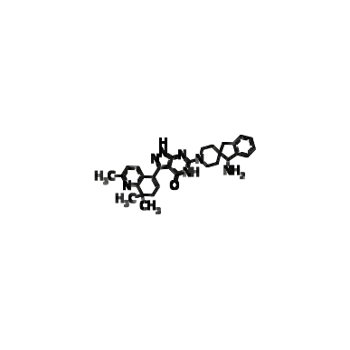 Cc1ccc2c(n1)C(C)(C)CC=C2c1n[nH]c2nc(N3CCC4(CC3)Cc3ccccc3[C@H]4N)[nH]c(=O)c12